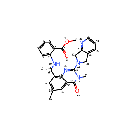 COC(=O)c1ccccc1N[C@@H](C)c1cc(C)cc2c(=O)n(C)c(N3Cc4cccnc4C3)nc12